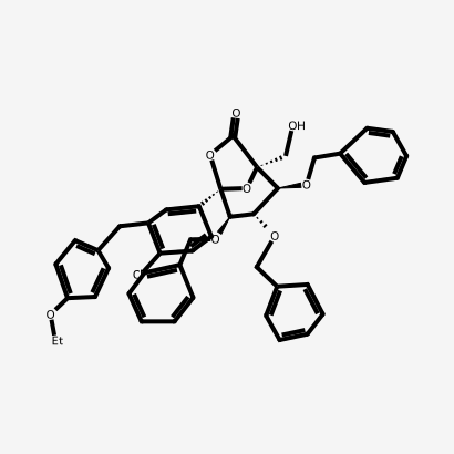 CCOc1ccc(Cc2cc([C@]34OC(=O)[C@](CO)(O3)[C@@H](OCc3ccccc3)[C@H](OCc3ccccc3)[C@H]4OCc3ccccc3)ccc2Cl)cc1